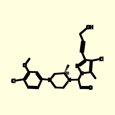 COc1cc(N2CCN(C(C=O)n3nc(C#CCO)c(Cl)c3C)[C@@H](C)C2)ccc1Cl